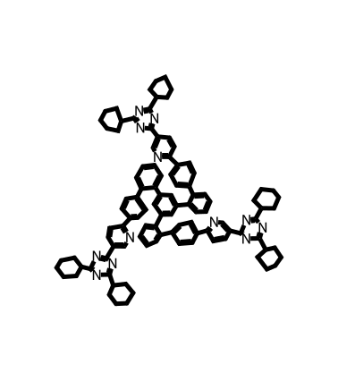 c1ccc(-c2cc(-c3ccccc3-c3ccc(-c4ccc(-c5nc(C6CCCCC6)nc(C6CCCCC6)n5)cn4)cc3)cc(-c3ccccc3-c3ccc(-c4ccc(-c5nc(C6CCCCC6)nc(C6CCCCC6)n5)cn4)cc3)c2)c(-c2ccc(-c3ccc(-c4nc(C5CCCCC5)nc(C5CCCCC5)n4)cn3)cc2)c1